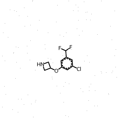 FC(F)c1cc(Cl)cc(OC2CNC2)c1